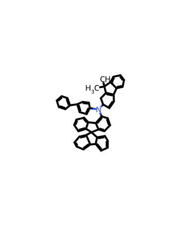 CC1(C)C2=C(C=CC(N(c3ccc(-c4ccccc4)cc3)c3cccc4c3-c3ccccc3C43c4ccccc4-c4ccccc43)C2)c2ccccc21